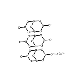 [Ga+3].[Ga+3].[O-]B1OB2OB([O-])OB(O1)O2.[O-]B1OB2OB([O-])OB(O1)O2.[O-]B1OB2OB([O-])OB(O1)O2